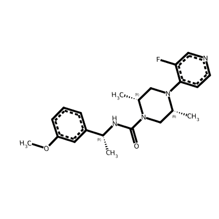 COc1cccc([C@@H](C)NC(=O)N2C[C@@H](C)N(c3ccncc3F)C[C@H]2C)c1